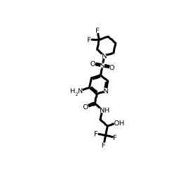 Nc1cc(S(=O)(=O)N2CCCC(F)(F)C2)cnc1C(=O)NCC(O)C(F)(F)F